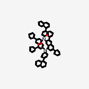 c1ccc(-c2cccc(N(c3ccc(-c4cccc5ccccc45)cc3)c3cc4c(N(c5ccc(-c6cccc7ccccc67)cc5)c5cccc(-c6ccccc6)c5)cc(-c5ccccc5)cc4cc3-c3ccccc3)c2)cc1